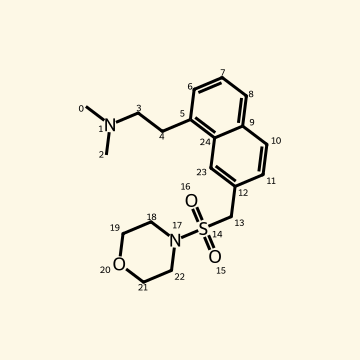 CN(C)CCc1cccc2ccc(CS(=O)(=O)N3CCOCC3)cc12